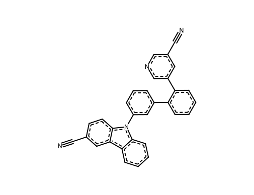 N#Cc1cncc(-c2ccccc2-c2cccc(-n3c4ccccc4c4cc(C#N)ccc43)c2)c1